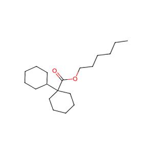 CCCCCCOC(=O)C1(C2CCCCC2)CCCCC1